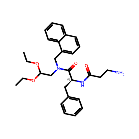 CCOC(CN(Cc1cccc2ccccc12)C(=O)[C@H](Cc1ccccc1)NC(=O)CCN)OCC